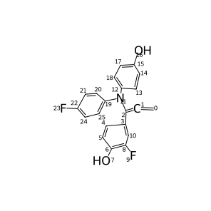 C=C=C(c1ccc(O)c(F)c1)N(c1ccc(O)cc1)c1ccc(F)cc1